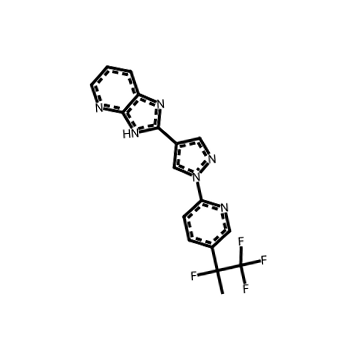 CC(F)(c1ccc(-n2cc(-c3nc4cccnc4[nH]3)cn2)nc1)C(F)(F)F